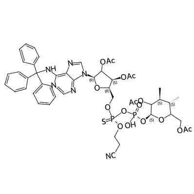 CC(=O)OCC1O[C@@H](OP(=O)(O)OP(=S)(OCCC#N)OC[C@H]2O[C@@H](n3cnc4c(NC(c5ccccc5)(c5ccccc5)c5ccccc5)ncnc43)C(OC(C)=O)[C@H]2OC(C)=O)C(OC(C)=O)[C@@H](C)[C@@H]1C